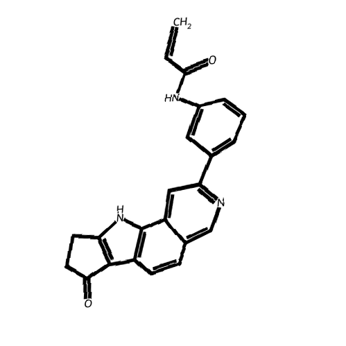 C=CC(=O)Nc1cccc(-c2cc3c(ccc4c5c([nH]c43)CCC5=O)cn2)c1